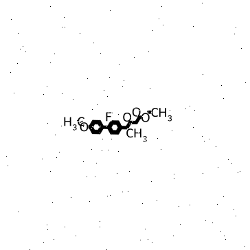 CCOC(=O)CC(=O)C(C)c1ccc(-c2ccc(OC)cc2)c(F)c1